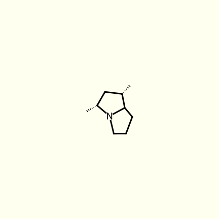 C[C@@H]1C[C@H](C)C2CCCN21